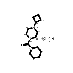 Cl.Cl.O=C(N1CCCCC1)N1CCN(C2CCC2)CC1